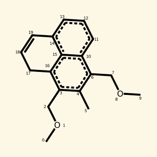 COCc1c(C)c(COC)c2cccc3c2c1CC=C3